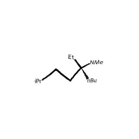 CCCC[C@](CC)(CCC(C)C)NC